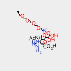 C#CCOCCOCCOCCOCCN(C)C(=O)O[C@@H]([C@H]1OC(C(=O)O)=C[C@@H](N/C(N)=N\C)[C@@H]1NC(C)=O)[C@H](O)CO